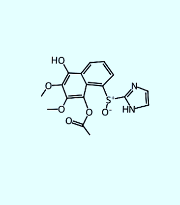 COc1c(OC)c(OC(C)=O)c2c([S+]([O-])c3ncc[nH]3)cccc2c1O